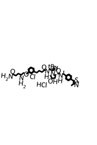 Cc1ncsc1-c1ccc([C@H](C)NC(=O)[C@@H]2C[C@H](O)CN2C(=O)[C@@H](NC(=O)CCCc2cccc(OC[C@@H](N)CCC(N)=O)c2Cl)C(C)(C)C)cc1.Cl